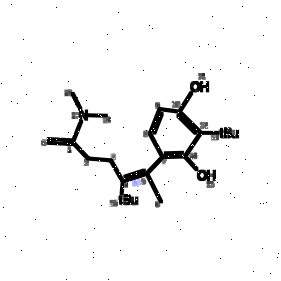 C=C(CC/C(=C(/C)c1ccc(O)c(C(C)(C)C)c1O)C(C)(C)C)N(C)C